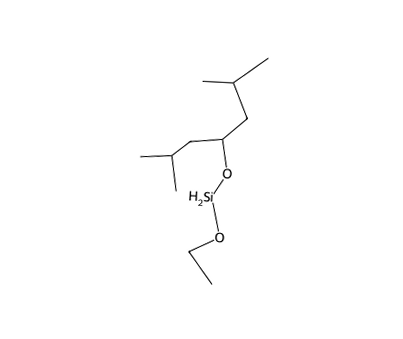 CCO[SiH2]OC(CC(C)C)CC(C)C